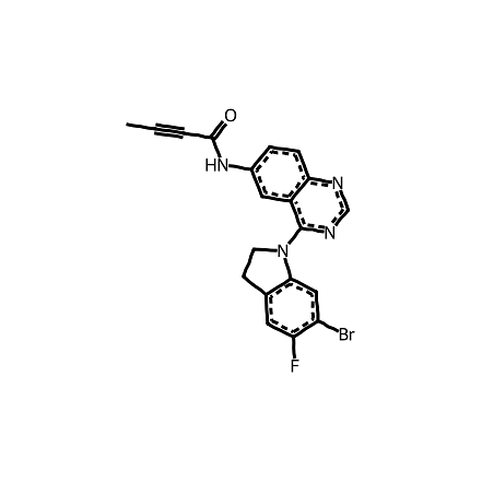 CC#CC(=O)Nc1ccc2ncnc(N3CCc4cc(F)c(Br)cc43)c2c1